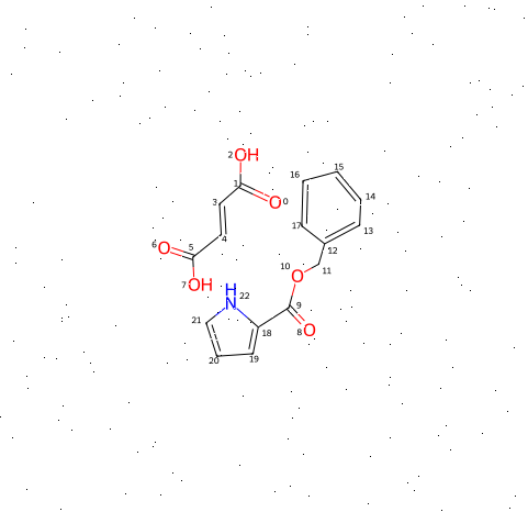 O=C(O)C=CC(=O)O.O=C(OCc1ccccc1)c1ccc[nH]1